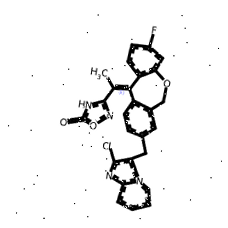 C/C(=C1/c2ccc(Cc3c(Cl)nc4ccccn34)cc2COc2cc(F)ccc21)c1noc(=O)[nH]1